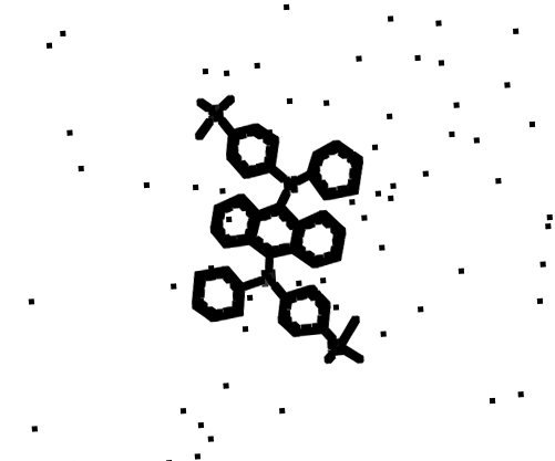 C[Si](C)(C)c1ccc(N(c2ccccc2)c2c3ccccc3c(N(c3ccccc3)c3ccc([Si](C)(C)C)cc3)c3ccccc23)cc1